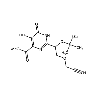 C#CCOCC(O[Si](C)(C)C(C)(C)C)c1nc(C(=O)OC)c(O)c(=O)[nH]1